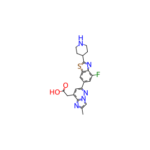 Cc1cn2nc(-c3cc(F)c4nc(C5CCNCC5)sc4c3)cc(CC(=O)O)c2n1